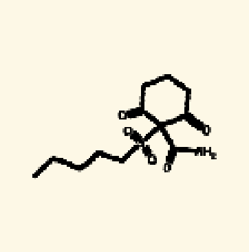 CCCCCS(=O)(=O)C1(C(N)=O)C(=O)CCCC1=O